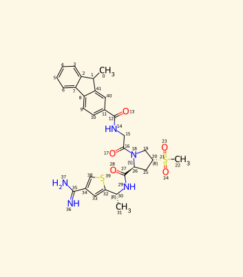 CC1c2ccccc2-c2ccc(C(=O)NCC(=O)N3C[C@H](S(C)(=O)=O)C[C@H]3C(=O)N[C@H](C)c3cc(C(=N)N)cs3)cc21